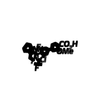 COc1cc(-c2cc(F)c([C@@H]3c4[nH]c5ccccc5c4C[C@@H](C)N3CC(C)(C)F)c(Cl)c2)ccc1C(=O)O